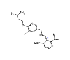 C=C(C)C1=NC=CC(NC)/C1=C\NCc1cnc(OCCC(P)CC)c(C)c1